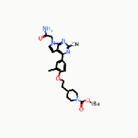 Cc1cc(-c2nc(C#N)nc3c2ccn3CC(N)=O)ccc1OCCC1CCN(C(=O)OC(C)(C)C)CC1